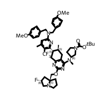 COc1ccc(CN(Cc2ccc(OC)cc2)c2cc(C)c(C(F)(F)F)c([C@H]3Cc4nc(OC[C@@]56CCCN5C[C@H](F)C6)nc(N(C)[C@@H]5CCN(C(=O)OC(C)(C)C)C5)c4C[C@@H]3C)n2)cc1